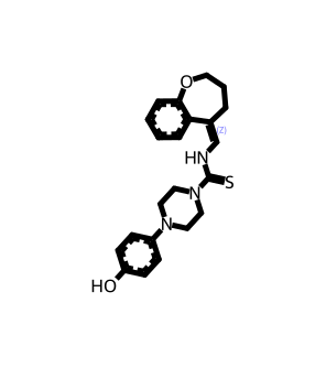 Oc1ccc(N2CCN(C(=S)N/C=C3/CCCOc4ccccc43)CC2)cc1